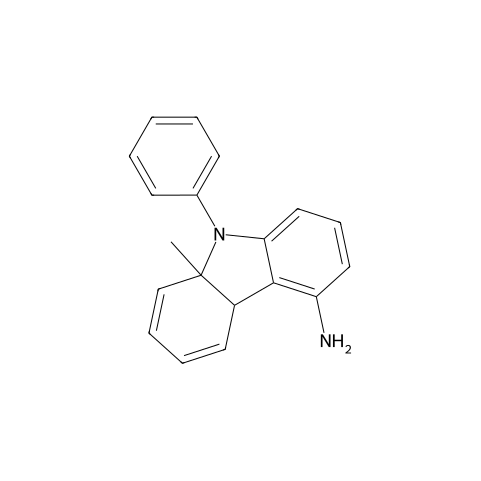 CC12C=CC=CC1c1c(N)cccc1N2c1ccccc1